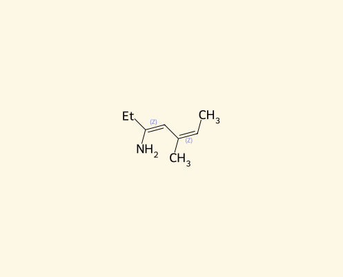 C/C=C(C)\C=C(/N)CC